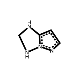 c1cc2n(n1)NCN2